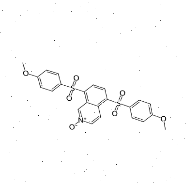 COc1ccc(S(=O)(=O)c2ccc(S(=O)(=O)c3ccc(OC)cc3)c3c[n+]([O-])ccc23)cc1